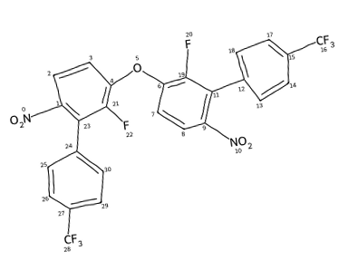 O=[N+]([O-])c1ccc(Oc2ccc([N+](=O)[O-])c(-c3ccc(C(F)(F)F)cc3)c2F)c(F)c1-c1ccc(C(F)(F)F)cc1